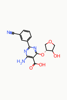 N#Cc1cccc(-c2nc(N)c(C(=O)O)c(O[C@@H]3COCC3O)n2)c1